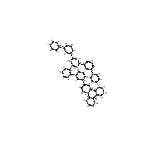 c1ccc(-c2cccc(-c3nc(-c4cccc(-c5ccccc5)c4)nc(-c4ccccc4-c4cccc(-c5ccc6c7ccccc7c7ccccc7c6c5)c4)n3)c2)cc1